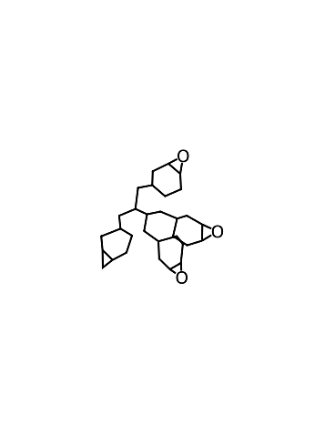 C1CC2CC2CC1CC(CC1CCC2OC2C1)C(CC1CCC2OC2C1)CC1CCC2OC2C1